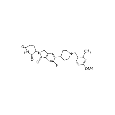 COc1ccc(CN2CCC(c3cc4c(cc3F)C(=O)N(C3CCC(=O)NC3=O)C4)CC2)c(C)c1